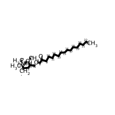 [CH2]C(CC(COCC(=O)CCCCCCCCCCCCCCC)OC)[N+](C)(C)C